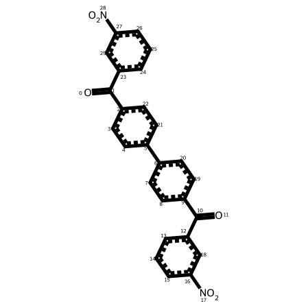 O=C(c1ccc(-c2ccc(C(=O)c3cccc([N+](=O)[O-])c3)cc2)cc1)c1cccc([N+](=O)[O-])c1